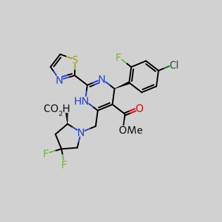 COC(=O)C1=C(CN2CC(F)(F)C[C@H]2C(=O)O)NC(c2nccs2)=N[C@H]1c1ccc(Cl)cc1F